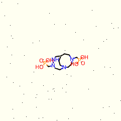 O=P(O)(O)CN1CCC2CCN(CC1)CCN(CP(=O)(O)O)NC2